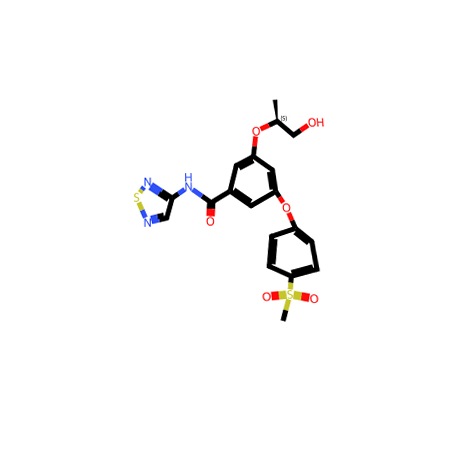 C[C@@H](CO)Oc1cc(Oc2ccc(S(C)(=O)=O)cc2)cc(C(=O)Nc2cnsn2)c1